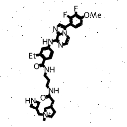 CCc1cc(Nc2nccn3c(-c4ccc(OC)c(F)c4F)cnc23)ccc1C(=O)NCCCNC(=O)CC1CC[N+](C)(CC2CNC2)C1